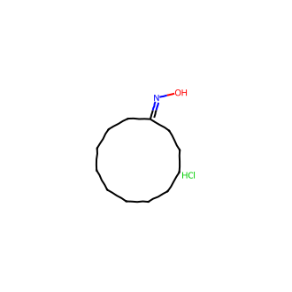 Cl.ON=C1CCCCCCCCCCC1